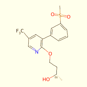 C[C@H](O)CCOc1ncc(C(F)(F)F)cc1-c1cccc(S(C)(=O)=O)c1